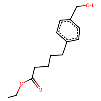 CCOC(=O)CCCCc1ccc(CO)cc1